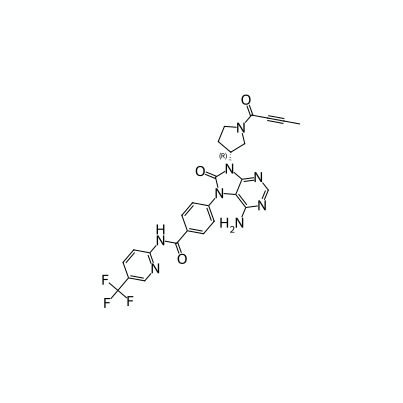 CC#CC(=O)N1CC[C@@H](n2c(=O)n(-c3ccc(C(=O)Nc4ccc(C(F)(F)F)cn4)cc3)c3c(N)ncnc32)C1